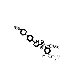 COc1cc(C(=O)O)c(F)cc1NS(=O)(=O)c1csc(C2=CC[C@H](C3CCC(C(C)(C)C)CC3)C=C2)n1